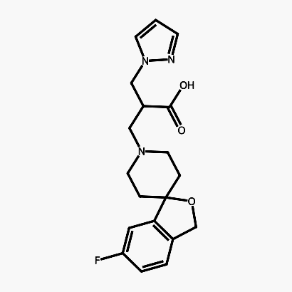 O=C(O)C(CN1CCC2(CC1)OCc1ccc(F)cc12)Cn1cccn1